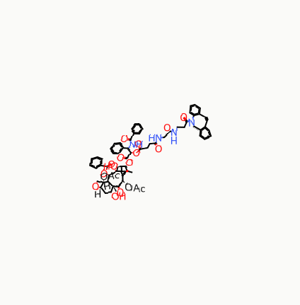 CC(=O)O[C@H]1C(=O)[C@@]2(C)[C@H]([C@H](OC(=O)c3ccccc3)[C@]3(O)C[C@H](OC(=O)[C@H](OC(=O)CCC(=O)NCC(=O)NCCC(=O)N4Cc5ccccc5C#Cc5ccccc54)C(NC(=O)c4ccccc4)c4ccccc4)C(C)=C1C3(C)C)[C@]1(OC(C)=O)CO[C@@H]1C[C@@H]2O